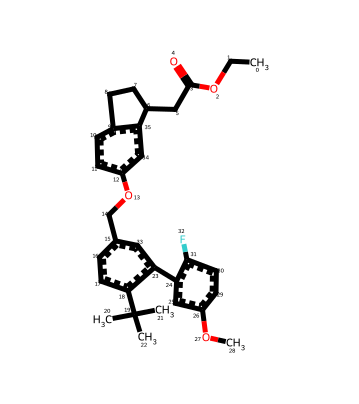 CCOC(=O)CC1CCc2ccc(OCc3ccc(C(C)(C)C)c(-c4cc(OC)ccc4F)c3)cc21